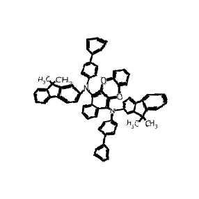 CC1(C)c2ccccc2-c2ccc(N(c3ccc(-c4ccccc4)cc3)c3c4c(c(N(c5ccc(-c6ccccc6)cc5)c5ccc6c(c5)C(C)(C)c5ccccc5-6)c5ccccc35)Oc3ccccc3O4)cc21